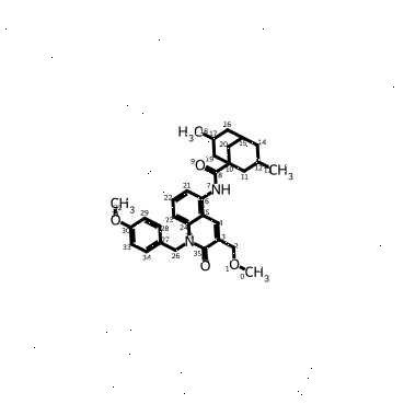 COCc1cc2c(NC(=O)C34CC(C)CC(CC(C)C3)C4)cccc2n(Cc2ccc(OC)cc2)c1=O